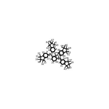 CC1(C)c2ccc(N(c3ccc4c(c3)C(C)(C)C(C)(C)C4(C)C)c3cccc(N(c4ccc5c(c4)C(C)(C)C(C)(C)C5(C)C)c4ccc5c(c4)C(C)(C)C(C)(C)C5(C)C)c3Cl)cc2C(C)(C)C1(C)C